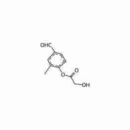 Cc1cc(C=O)ccc1OC(=O)CO